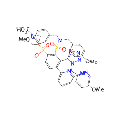 COc1ccc(CN(Cc2ccc(OC)cc2)S(=O)(=O)c2c(S(=O)(=O)C3CN(C(=O)O)C3)ccc(-c3cccc(N)n3)c2-c2nnnn2Cc2ccc(OC)cc2)cc1